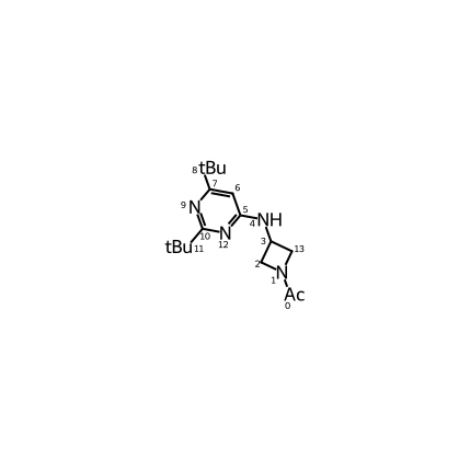 CC(=O)N1CC(Nc2cc(C(C)(C)C)nc(C(C)(C)C)n2)C1